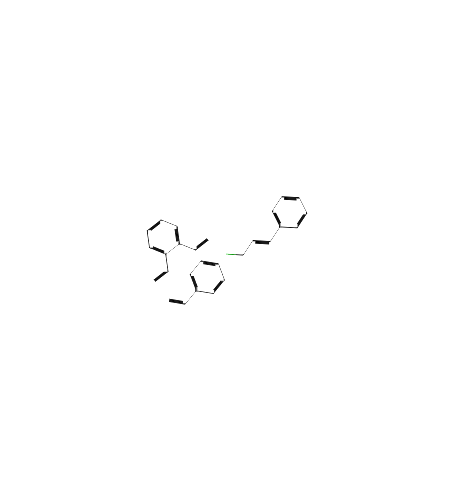 C=Cc1ccccc1.C=Cc1ccccc1C=C.ClCC=Cc1ccccc1